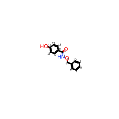 O=C(NOCc1ccccc1)c1ccc(O)cc1